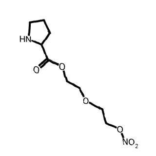 O=C(OCCOCCO[N+](=O)[O-])C1CCCN1